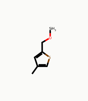 Cc1csc(CO[SiH3])c1